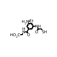 CCN.O=C(O)CNC(=O)c1cccc(NC(=O)CS)c1